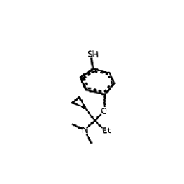 CCC(Oc1ccc(S)cc1)(C1CC1)N(C)C